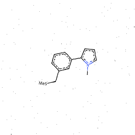 CSCc1cccc(-c2cccn2C)c1